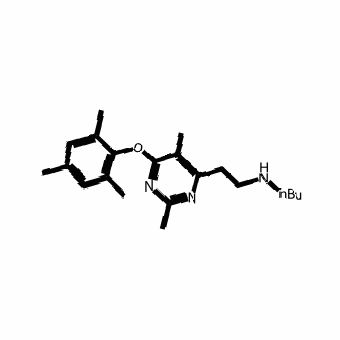 CCCCNCCc1nc(C)nc(Oc2c(C)cc(C)cc2C)c1C